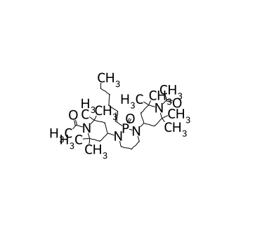 CCCCC=CP1(=O)N(C2CC(C)(C)N(C(C)=O)C(C)(C)C2)CCCN1C1CC(C)(C)N(C(C)=O)C(C)(C)C1